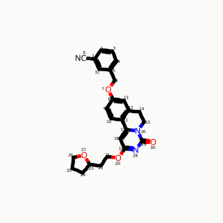 N#Cc1cccc(COc2ccc3c(c2)CCn2c-3cc(OCCC3CCCO3)nc2=O)c1